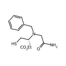 CCOC(=O)[C@H](CS)N(CC(N)=O)Cc1ccccc1